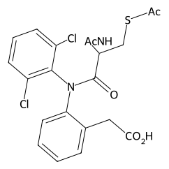 CC(=O)NC(CSC(C)=O)C(=O)N(c1ccccc1CC(=O)O)c1c(Cl)cccc1Cl